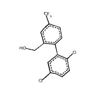 OCc1cc(C(F)(F)F)ccc1-c1cc(Cl)ccc1Cl